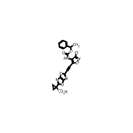 CC(OC(=O)Nc1c(Cl)noc1C#Cc1nc2oc(C3(C(=O)O)CC3)nc2o1)c1ccccc1